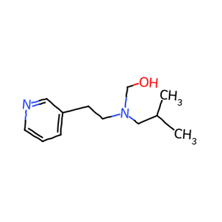 CC(C)CN(CO)CCc1cccnc1